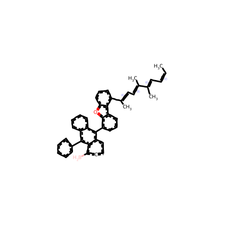 Bc1cccc2c(-c3cccc4c3oc3cccc(/C(C)=C/C=C(C)/C(C)=C/C=C\C)c34)c3ccccc3c(-c3ccccc3)c12